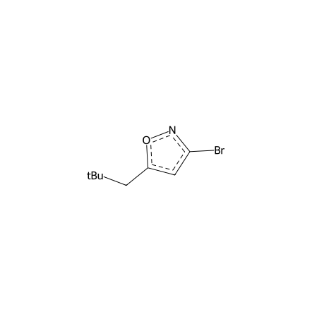 CC(C)(C)Cc1cc(Br)no1